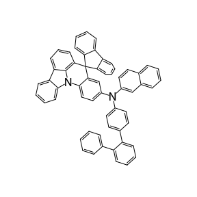 c1ccc(-c2ccccc2-c2ccc(N(c3ccc4c(c3)C3(c5ccccc5-c5ccccc53)c3cccc5c6ccccc6n-4c35)c3ccc4ccccc4c3)cc2)cc1